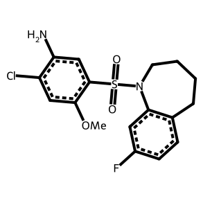 COc1cc(Cl)c(N)cc1S(=O)(=O)N1CCCCc2ccc(F)cc21